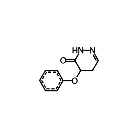 O=C1NN=CCC1Oc1ccccc1